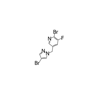 Fc1cc(Cn2cc(Br)cn2)cnc1Br